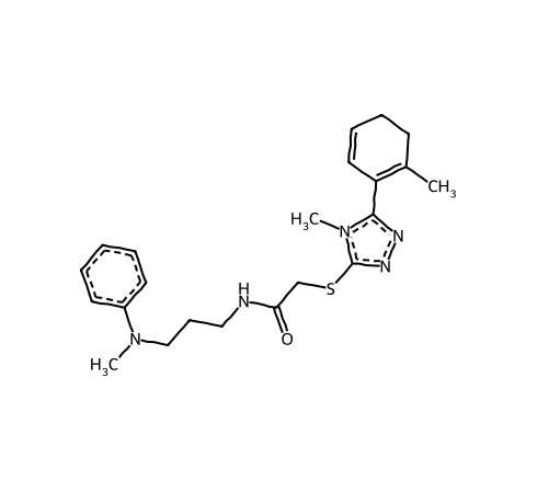 CC1=C(c2nnc(SCC(=O)NCCCN(C)c3ccccc3)n2C)C=CCC1